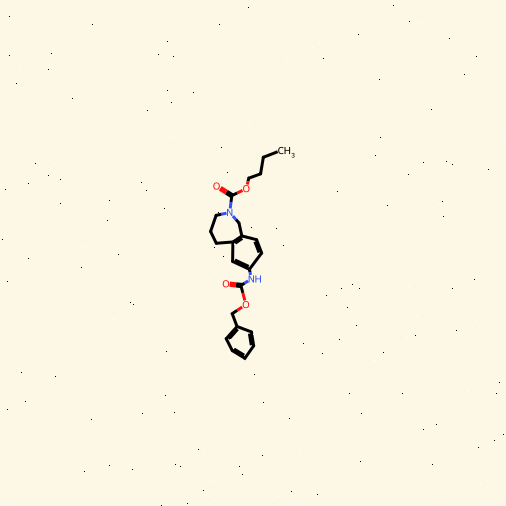 CCCCOC(=O)N1CCCc2cc(NC(=O)OCc3ccccc3)ccc2C1